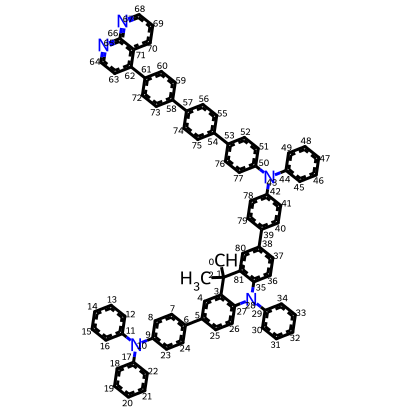 CC1(C)c2cc(-c3ccc(N(c4ccccc4)c4ccccc4)cc3)ccc2N(c2ccccc2)c2ccc(-c3ccc(N(c4ccccc4)c4ccc(-c5ccc(-c6ccc(-c7ccnc8ncccc78)cc6)cc5)cc4)cc3)cc21